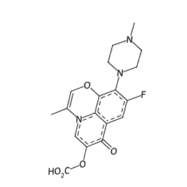 CC1=COc2c(N3CCN(C)CC3)c(F)cc3c(=O)c(OC(=O)O)cn1c23